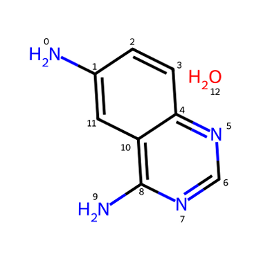 Nc1ccc2ncnc(N)c2c1.O